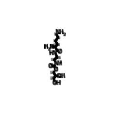 NCCCCC(N)C(=O)NCCNC(=O)OCC(O)CO